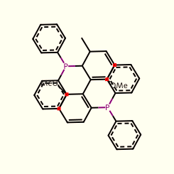 COC1=C(C2=C(P(c3ccccc3)c3ccccc3)C=CCC2OC)C(P(c2ccccc2)c2ccccc2)C(C)C=C1